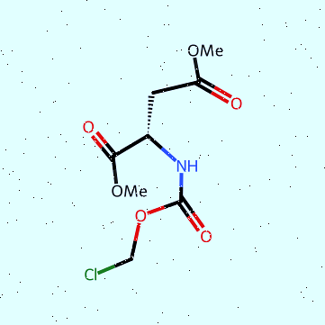 COC(=O)C[C@H](NC(=O)OCCl)C(=O)OC